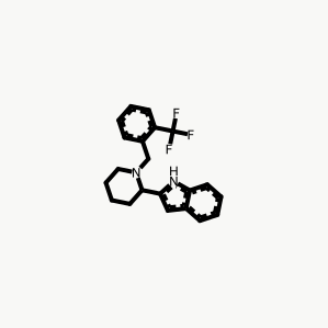 FC(F)(F)c1ccccc1CN1CCCCC1c1cc2ccccc2[nH]1